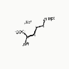 CCCCCCCCCCC(CCC)C(=O)[O-].[Na+]